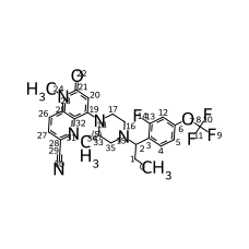 CCC(c1ccc(OC(F)(F)F)cc1F)N1CCN(c2cc(=O)n(C)c3ccc(C#N)nc23)[C@@H](C)C1